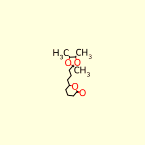 CC1OC(C)(CCCC2CCCC(=O)O2)OC1C